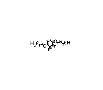 C=CCOC1CCC(OCCCC)C(F)C1F